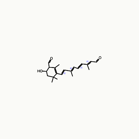 CC1=C(/C=C/C(C)=C/C=C/C(C)=C/C=O)C(C)(C)CC(O)C1C=O